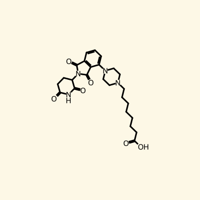 O=C(O)CCCCCCCN1CCN(c2cccc3c2C(=O)N(C2CCC(=O)NC2=O)C3=O)CC1